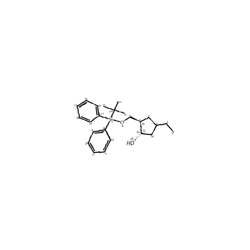 CCC1C[C@H](CO[Si](c2ccccc2)(c2ccccc2)C(C)(C)C)[C@@H](O)C1